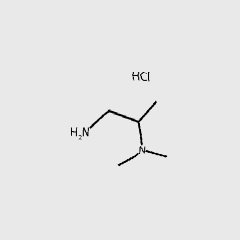 CC(CN)N(C)C.Cl